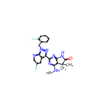 CCCNc1nc(-c2nn(Cc3ccccc3F)c3ncc(F)cc23)nc2c1[C@@](C)(C(F)(F)F)C(=O)N2